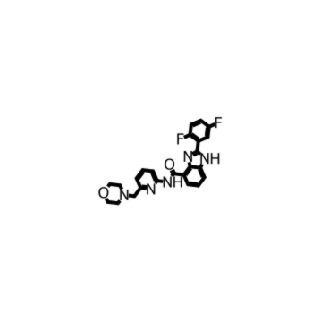 O=C(Nc1cccc(CN2CCOCC2)n1)c1cccc2[nH]c(-c3cc(F)ccc3F)nc12